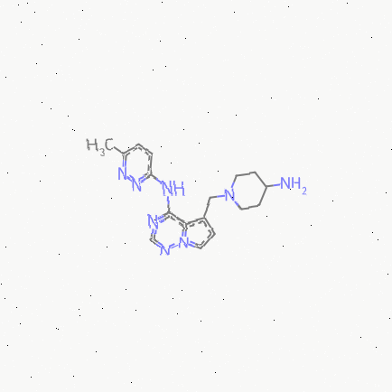 Cc1ccc(Nc2ncnn3ccc(CN4CCC(N)CC4)c23)nn1